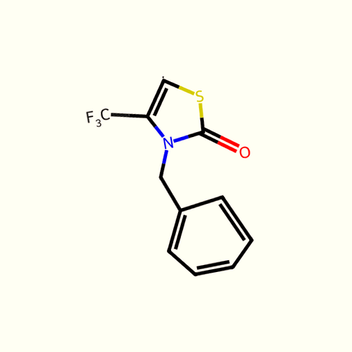 O=c1s[c]c(C(F)(F)F)n1Cc1ccccc1